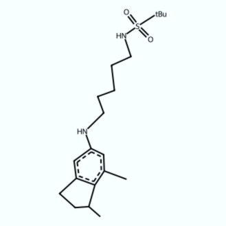 Cc1cc(NCCCCCNS(=O)(=O)C(C)(C)C)cc2c1C(C)CC2